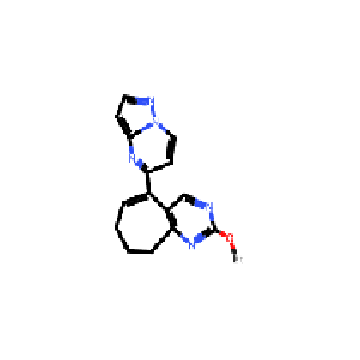 CCOc1ncc2c(n1)CCCC=C2c1ccn2nccc2n1